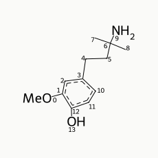 COc1cc(CCC(C)(C)N)ccc1O